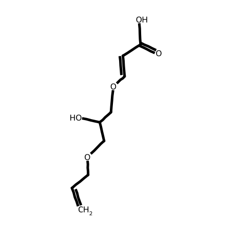 C=CCOCC(O)COC=CC(=O)O